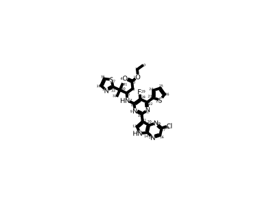 CCOC(=O)CC(Nc1nc(-c2c[nH]c3ncc(Cl)nc23)nc(-c2cccs2)c1F)C(C)(C)c1nccs1